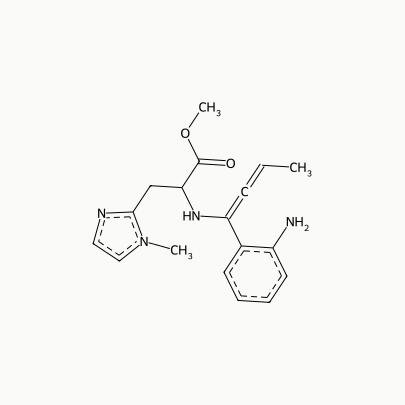 CC=C=C(NC(Cc1nccn1C)C(=O)OC)c1ccccc1N